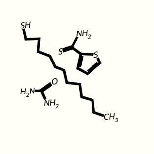 CCCCCCCCCCCCS.NC(=S)c1cccs1.NC(N)=O